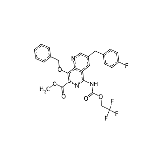 COC(=O)c1nc(NC(=O)OCC(F)(F)F)c2cc(Cc3ccc(F)cc3)cnc2c1OCc1ccccc1